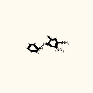 Cc1cc(N)c([N+](=O)[O-])cc1N=Nc1ccccc1